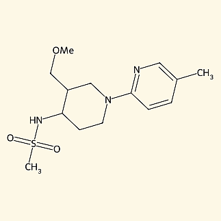 COCC1CN(c2ccc(C)cn2)CCC1NS(C)(=O)=O